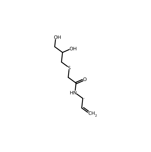 C=C[CH]NC(=O)CSCC(O)CO